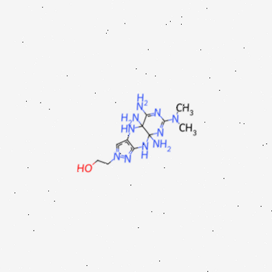 CN(C)C1=NC2(N)Nc3nn(CCO)cc3NC2(N)C(N)=N1